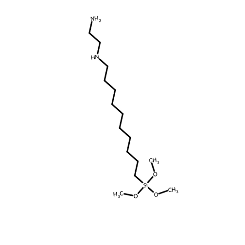 CO[Si](CCCCCCCCCCNCCN)(OC)OC